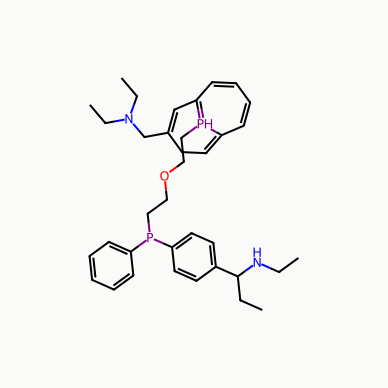 CCNC(CC)c1ccc(P(CCOCC[PH]2=C3C=CC=CC2=CCC(CN(CC)CC)=C3)c2ccccc2)cc1